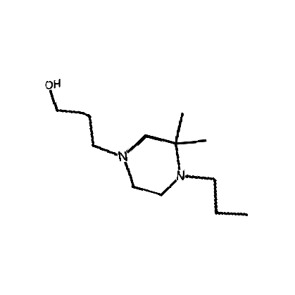 CCCN1CCN(CCCO)CC1(C)C